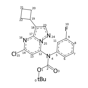 CC(C)(C)OC(=O)N(c1cccc(F)c1)c1cc(Cl)nc2c(C3CCC3)cnn12